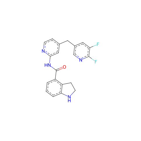 O=C(Nc1cc(Cc2cnc(F)c(F)c2)ccn1)c1cccc2c1CCN2